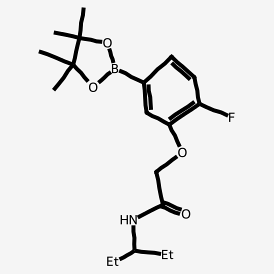 CCC(CC)NC(=O)COc1cc(B2OC(C)(C)C(C)(C)O2)ccc1F